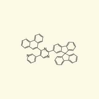 c1cncc(-c2cnc(-c3ccc4c(c3)C3(c5ccccc5-c5ccccc53)c3ccccc3-4)nc2-c2cc3ccccc3c3ccccc23)c1